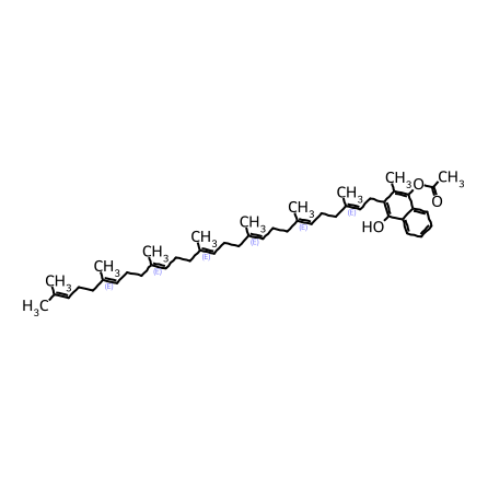 CC(=O)Oc1c(C)c(C/C=C(\C)CC/C=C(\C)CC/C=C(\C)CC/C=C(\C)CC/C=C(\C)CC/C=C(\C)CCC=C(C)C)c(O)c2ccccc12